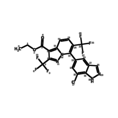 CCOC(=O)c1c(C(F)(F)F)nn2c(-c3cc(Cl)c4[nH]ncc4c3)c(C(F)(F)F)ccc12